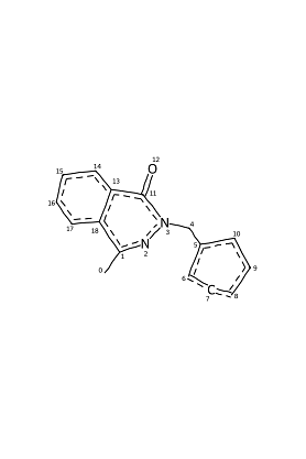 Cc1nn(Cc2ccccc2)c(=O)c2ccccc12